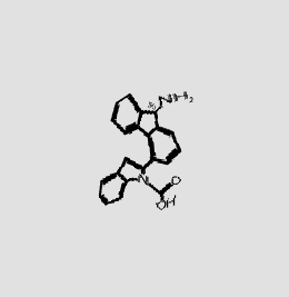 N[C@@H]1c2ccccc2-c2c(-c3cc4ccccc4n3C(=O)O)cccc21